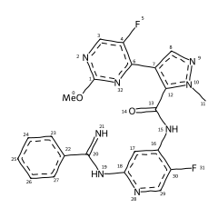 COc1ncc(F)c(-c2cnn(C)c2C(=O)Nc2cc(NC(=N)c3ccccc3)ncc2F)n1